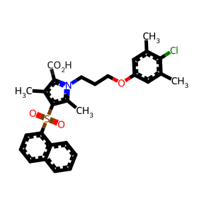 Cc1cc(OCCCn2c(C)c(S(=O)(=O)c3cccc4ccccc34)c(C)c2C(=O)O)cc(C)c1Cl